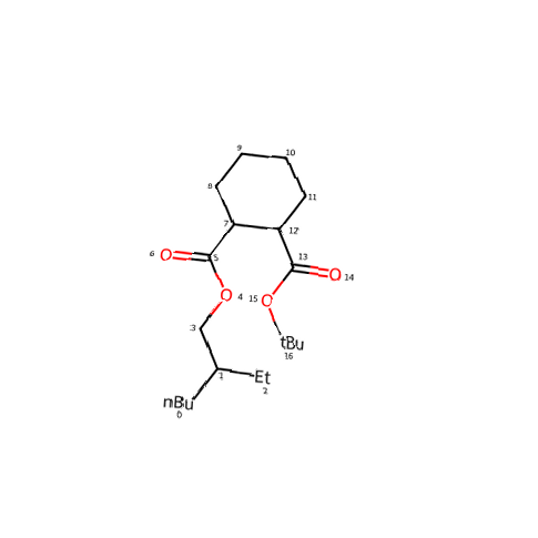 CCCCC(CC)COC(=O)C1CCCCC1C(=O)OC(C)(C)C